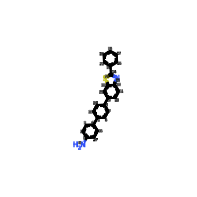 Nc1ccc(-c2ccc(-c3ccc4nc(-c5ccccc5)sc4c3)cc2)cc1